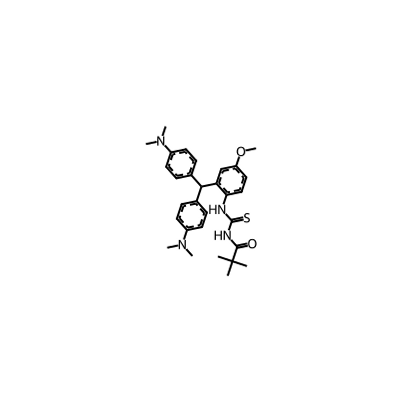 COc1ccc(NC(=S)NC(=O)C(C)(C)C)c(C(c2ccc(N(C)C)cc2)c2ccc(N(C)C)cc2)c1